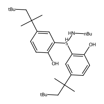 CCCCN[SH](c1cc(C(C)(C)CC(C)(C)C)ccc1O)c1cc(C(C)(C)CC(C)(C)C)ccc1O